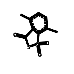 Cc1ccc(C)c2c1C(=O)SS2(=O)=O